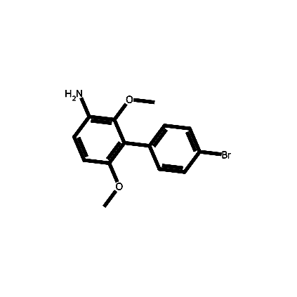 COc1ccc(N)c(OC)c1-c1ccc(Br)cc1